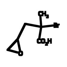 CC(Br)(CC1CO1)C(=O)O